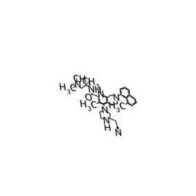 Cc1c(C(=O)NC(C)CN(C)C)nc2c(c1N1CCNC(CC#N)C1)CCN(c1cccc3cccc(C)c13)C2